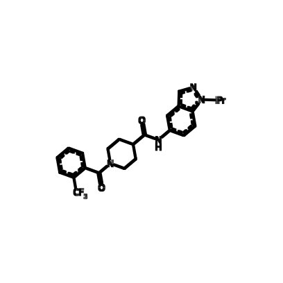 CC(C)n1ncc2cc(NC(=O)C3CCN(C(=O)c4ccccc4C(F)(F)F)CC3)ccc21